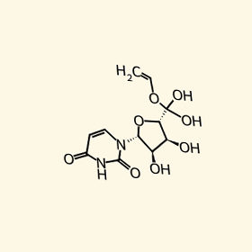 C=COC(O)(O)[C@H]1O[C@@H](n2ccc(=O)[nH]c2=O)[C@H](O)[C@@H]1O